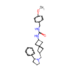 COc1ccc(CNC(=O)NC2CC3(CC(CN4CCCC4c4ccccc4)C3)C2)cc1